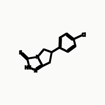 S=c1[nH]nc2n1CC(c1ccc(Cl)cc1)C2